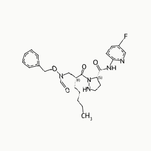 CCCCC[C@H](CN(C=O)OCc1ccccc1)C(=O)N1NCC[C@H]1C(=O)Nc1ccc(F)cn1